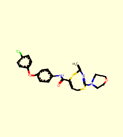 C=C1/N=C(/N2CCOCC2)SC/C=C(/C(=O)Nc2ccc(Oc3ccc(Cl)cc3)cc2)S1